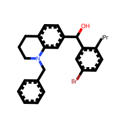 CC(C)c1ccc(Br)cc1C(O)c1ccc2c(c1)N(Cc1ccccc1)CCC2